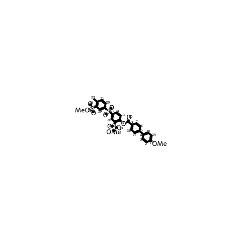 COc1ccc(-c2ccc(C(=O)Oc3ccc(S(=O)(=O)c4ccc(C)c(S(=O)(=O)OC)c4)cc3S(=O)(=O)OC)cc2)cc1